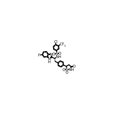 O=C1CC(c2ccc(C[C@H](NS(=O)(=O)c3ccc(Cl)c(C(F)(F)F)c3)c3nc4ccc(F)cc4[nH]3)cc2)S(=O)(=O)N1